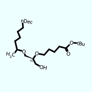 CCCCCCCCCCCCCCC(C)OC[C@H](CO)OCCCCC(=O)OC(C)(C)C